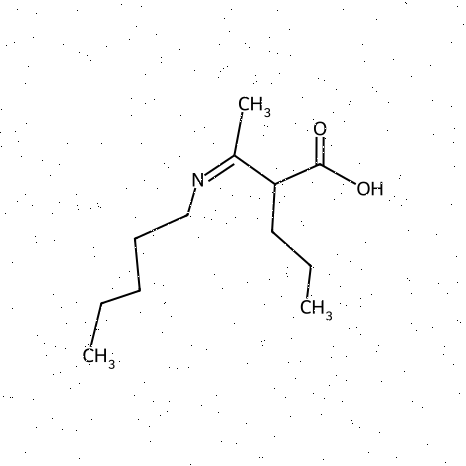 CCCCC/N=C(/C)C(CCC)C(=O)O